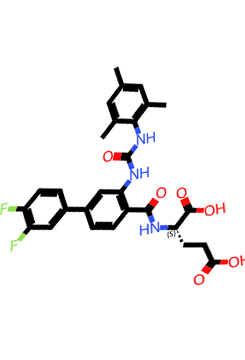 Cc1cc(C)c(NC(=O)Nc2cc(-c3ccc(F)c(F)c3)ccc2C(=O)N[C@@H](CCC(=O)O)C(=O)O)c(C)c1